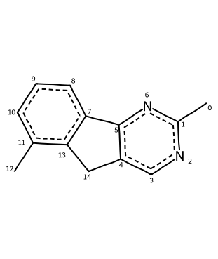 Cc1ncc2c(n1)-c1cccc(C)c1C2